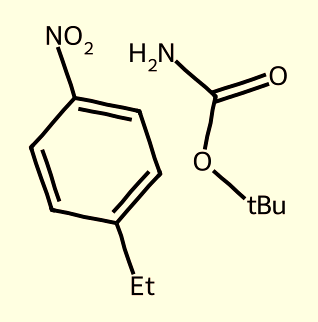 CC(C)(C)OC(N)=O.CCc1ccc([N+](=O)[O-])cc1